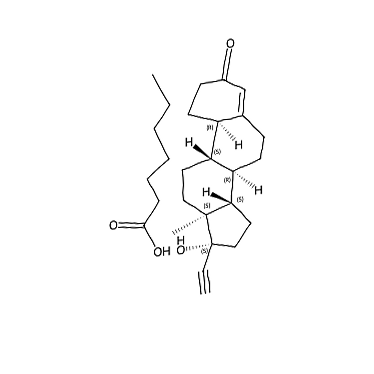 C#C[C@]1(O)CC[C@H]2[C@@H]3CCC4=CC(=O)CC[C@@H]4[C@H]3CC[C@@]21C.CCCCCCC(=O)O